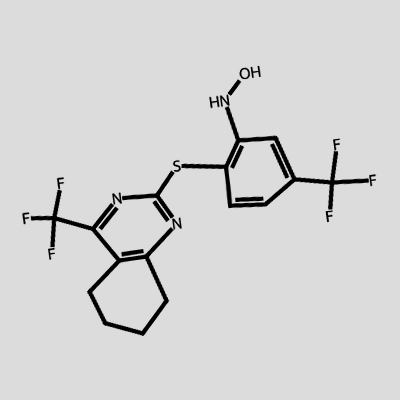 ONc1cc(C(F)(F)F)ccc1Sc1nc2c(c(C(F)(F)F)n1)CCCC2